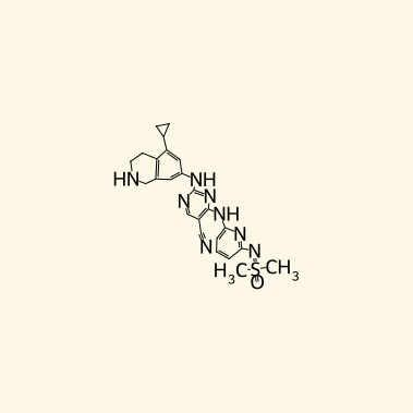 CS(C)(=O)=Nc1cccc(Nc2nc(Nc3cc4c(c(C5CC5)c3)CCNC4)ncc2C#N)n1